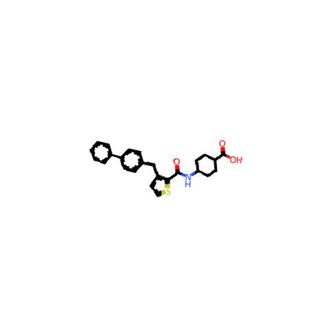 O=C(NC1CCC(C(=O)O)CC1)c1sccc1Cc1ccc(-c2ccccc2)cc1